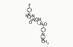 CN1CCN(c2ccc(C(=O)N3CCC(O)(Cn4cnc5c(cnn5-c5ccc(F)cc5)c4=O)CC3)cc2)CC1